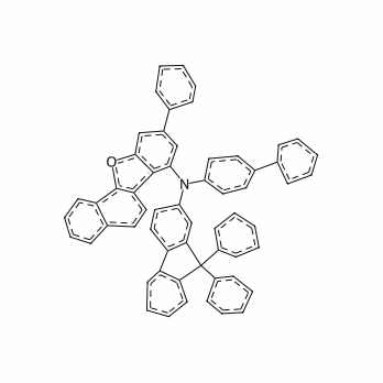 c1ccc(-c2ccc(N(c3ccc4c(c3)C(c3ccccc3)(c3ccccc3)c3ccccc3-4)c3cc(-c4ccccc4)cc4oc5c6ccccc6ccc5c34)cc2)cc1